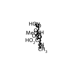 CO[C@@]1(NC(=O)Cc2cc(O)no2)C(=O)N2C(C(=O)O)=C(CSc3nnc(C)s3)CS[C@@H]21